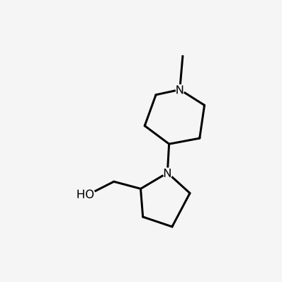 CN1CCC(N2CCCC2CO)CC1